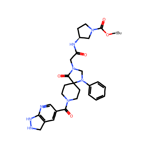 CC(C)(C)OC(=O)N1CC[C@H](NC(=O)CN2CN(c3ccccc3)C3(CCN(C(=O)c4cnc5c(c4)CNN5)CC3)C2=O)C1